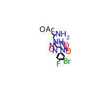 CC(=O)OCC(N)CNc1nonc1-c1noc(=O)n1-c1ccc(F)c(Br)c1